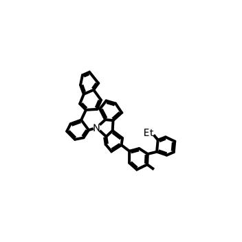 CCc1ccccc1-c1cc(-c2ccc3c(c2)c2ccccc2n3-c2ccccc2-c2ccc3ccccc3c2)ccc1C